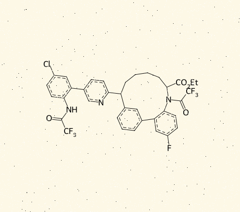 CCOC(=O)C1CCCCC(c2ccc(-c3cc(Cl)ccc3NC(=O)C(F)(F)F)cn2)c2cccc(c2)-c2cc(F)ccc2N1C(=O)C(F)(F)F